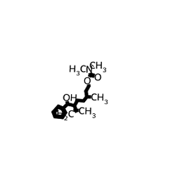 C=C(C)C(CCC(C)CCOC(=O)N(C)C)C(O)c1ccccc1